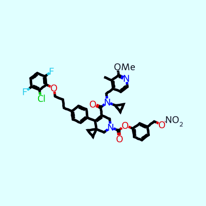 COc1nccc(CN(C(=O)C2=C(c3ccc(CCCOc4c(F)ccc(F)c4Cl)cc3)C3(CC3)CN(C(=O)Oc3cccc(CO[N+](=O)[O-])c3)C2)C2CC2)c1C